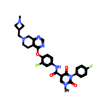 CC(C)n1cc(C(=O)Nc2ccc(Oc3ncnc4c3CCN(CC3CN(C)C3)C4)c(F)c2)c(=O)n(-c2ccc(F)cc2)c1=O